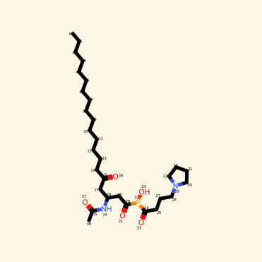 CCCCCCCCCCCCCCCC(=O)CC(CC(=O)P(O)C(=O)CCCN1CCCC1)NC(C)=O